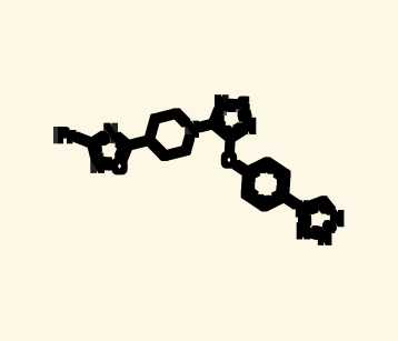 CC(C)c1noc(C2CCN(c3nsnc3Oc3ccc(-n4cnnn4)cc3)CC2)n1